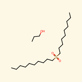 CCCCCCCCCCS(=O)(=O)CCCCCCCCCC.CCCO